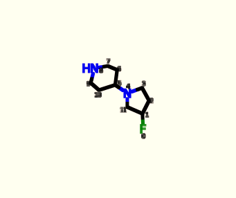 FC1CCN(C2CCNCC2)C1